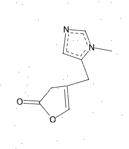 Cn1cncc1CC1=COC(=O)C1